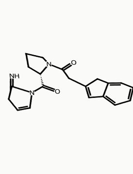 N=C1CC=CN1C(=O)[C@@H]1CCCN1C(=O)CC1=Cc2ccccc2C1